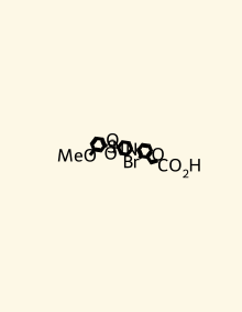 COc1cccc(S(=O)(=O)N2CCN(c3ccc4oc(C(=O)O)cc4c3Br)CC2)c1